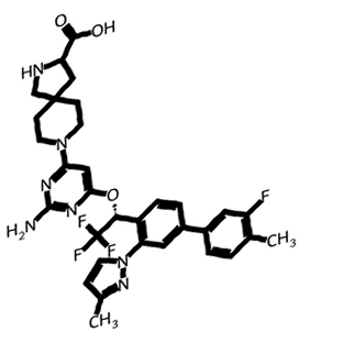 Cc1ccn(-c2cc(-c3ccc(C)c(F)c3)ccc2[C@@H](Oc2cc(N3CCC4(CC3)CNC(C(=O)O)C4)nc(N)n2)C(F)(F)F)n1